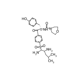 CC(C)CC(N)C(N)S(=O)(=O)c1ccc(C(=O)[C@H](Cc2ccc(O)cc2)NC(=O)N2CCOCC2)cc1